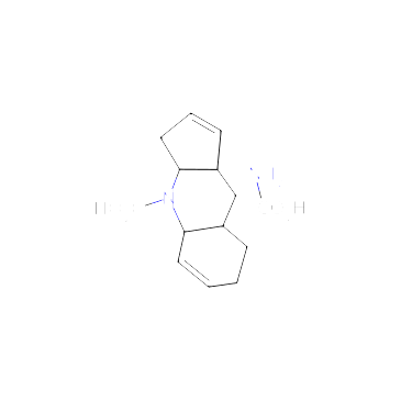 NC(=O)O.O=C(O)N1C2C=CCCC2CC2C=CCC21